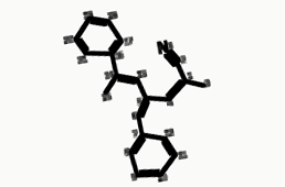 CC(C#N)=CC(=Cc1ccccc1)C=C(C)c1ccccc1